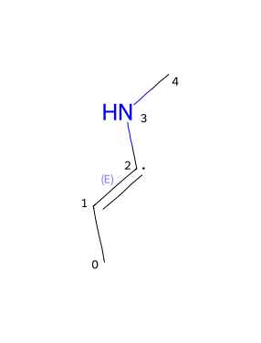 C/C=[C]/NC